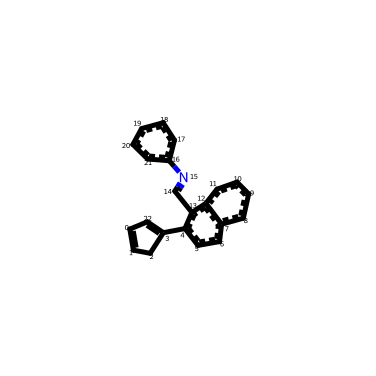 C1=CCC(c2ccc3ccccc3c2C=Nc2ccccc2)=C1